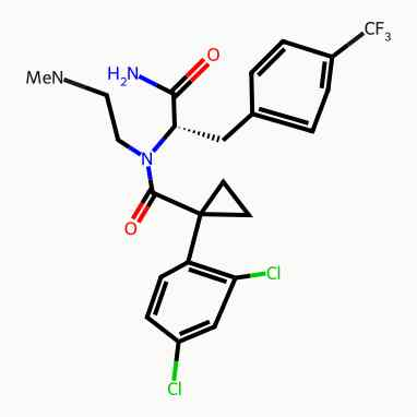 CNCCN(C(=O)C1(c2ccc(Cl)cc2Cl)CC1)[C@@H](Cc1ccc(C(F)(F)F)cc1)C(N)=O